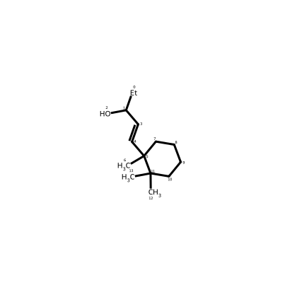 CCC(O)C=CC1(C)CCCCC1(C)C